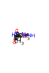 C[C@]12CC/C(=N\O[C@@H]3CCNC3)CC1CC(=O)N[C@@H]1[C@@H]2CC[C@]2(C)C(=O)CC[C@@H]12